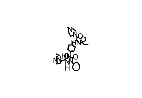 CCC(=O)N[C@H](Cc1ccc(NC(=O)N(NC(=O)c2ccnn2CC)C2CCCCCC2)cc1)C(=O)N1CCN(C)CC1